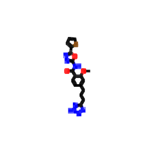 COc1cc(CCCc2nn[nH]n2)ccc1C(=O)Nc1nnc(-c2cccs2)o1